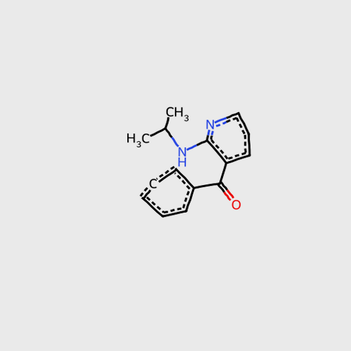 CC(C)Nc1ncccc1C(=O)c1ccccc1